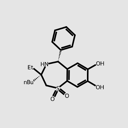 CCCC[C@@]1(CC)CS(=O)(=O)c2cc(O)c(O)cc2[C@@H](c2ccccc2)N1